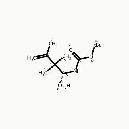 C=C(C)C(C)(C)[C@H](NC(=O)OC(C)(C)C)C(=O)O